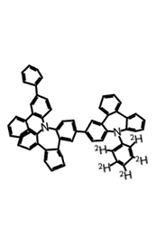 [2H]c1c([2H])c([2H])c(N2c3ccccc3-c3ccccc3-c3cc(-c4ccc5c(c4)-c4ccccc4-c4ccccc4N5c4ccc(-c5ccccc5)cc4-c4ccccc4)ccc32)c([2H])c1[2H]